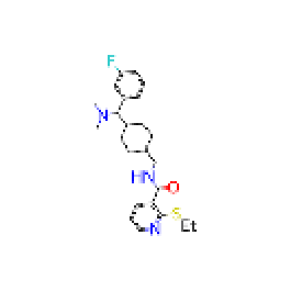 CCSc1ncccc1C(=O)NCC1CCC(C(c2cccc(F)c2)N(C)C)CC1